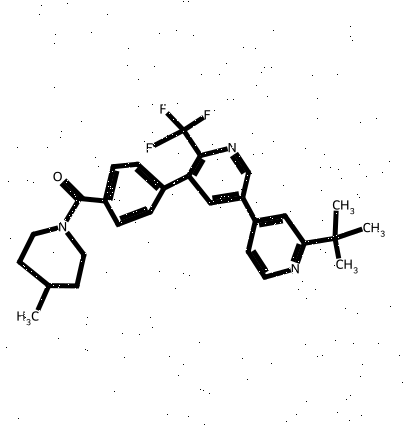 CC1CCN(C(=O)c2ccc(-c3cc(-c4ccnc(C(C)(C)C)c4)cnc3C(F)(F)F)cc2)CC1